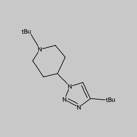 CC(C)(C)c1cn(C2CCN(C(C)(C)C)CC2)nn1